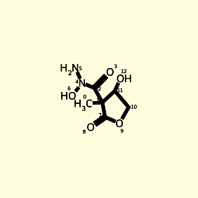 CC1(C(=O)N(N)O)C(=O)OCC1O